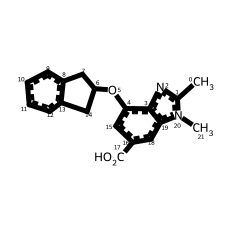 Cc1nc2c(OC3Cc4ccccc4C3)cc(C(=O)O)cc2n1C